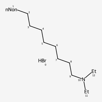 Br.CCCCCCCCCCCCCCCCCN(CC)CC